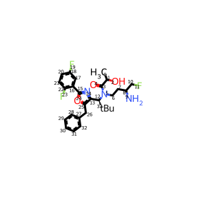 CC(O)C(=O)N(CCC(N)CF)[C@H](c1nc(-c2cc(F)ccc2F)oc1Cc1ccccc1)C(C)(C)C